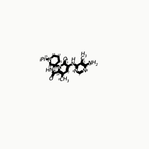 Cc1cc(Nc2ncnc(N)c2C)c(=O)n2c1C(=O)NC21CCCN(C(C)C)C1